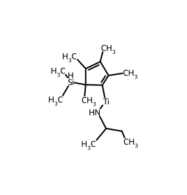 CCC(C)[NH][Ti][C]1=C(C)C(C)=C(C)C1(C)[SiH](C)C